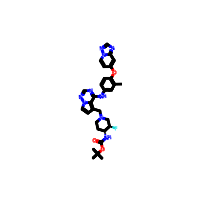 Cc1cc(Nc2ncnn3ccc(CN4CC[C@@H](NC(=O)OC(C)(C)C)[C@H](F)C4)c23)ccc1Oc1ccn2ncnc2c1